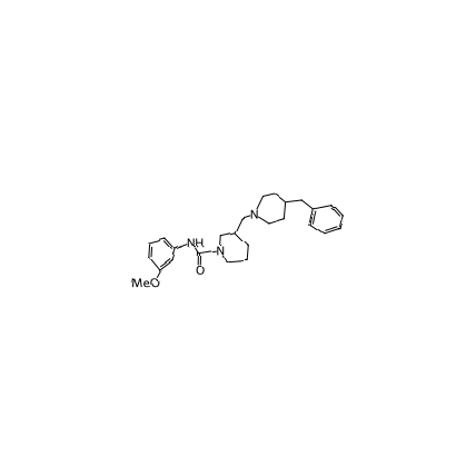 COc1cccc(NC(=O)N2CCCC(CN3CCC(Cc4ccccc4)CC3)C2)c1